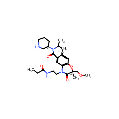 CCC(=O)NCCN1C(=O)[C@@](C)(COC)Oc2cc(C)c(C(=O)N(C(C)C)[C@@H]3CCCNC3)cc21